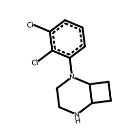 Clc1cccc(N2CCNC3CCC32)c1Cl